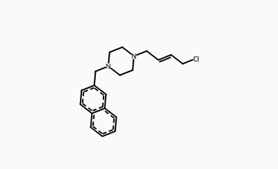 ClC/C=C/CN1CCN(Cc2ccc3ccccc3c2)CC1